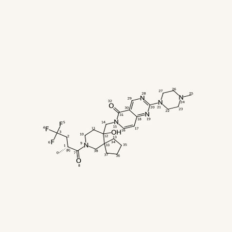 C[C@H](CC(F)(F)F)C(=O)N1CCC(O)(Cn2ccc3nc(N4CCN(C)CC4)ncc3c2=O)C2(CCCC2)C1